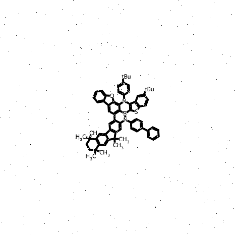 CC(C)(C)c1ccc(N2c3c(sc4ccc(C(C)(C)C)cc34)B3c4c(cc5c(oc6ccccc65)c42)-c2cc4c(cc2N3c2ccc(-c3ccccc3)cc2)C(C)(C)c2cc3c(cc2-4)C(C)(C)CCC3(C)C)cc1